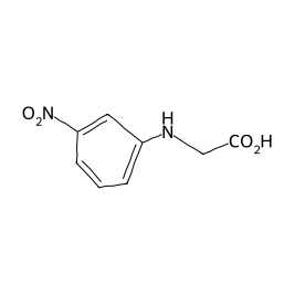 O=C(O)CNc1cccc([N+](=O)[O-])c1